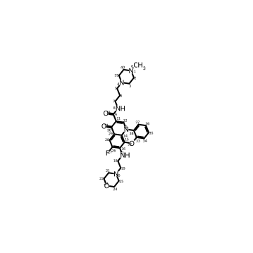 CN1CCN(CCCNC(=O)c2cn3c4c(c(NCCN5CCOCC5)c(F)cc4c2=O)Oc2ccccc2-3)CC1